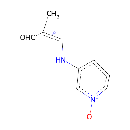 C/C(C=O)=C/Nc1ccc[n+]([O-])c1